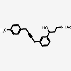 CC(=O)NCCC(O)c1cccc(CC#CCc2ccc(C)cc2)c1